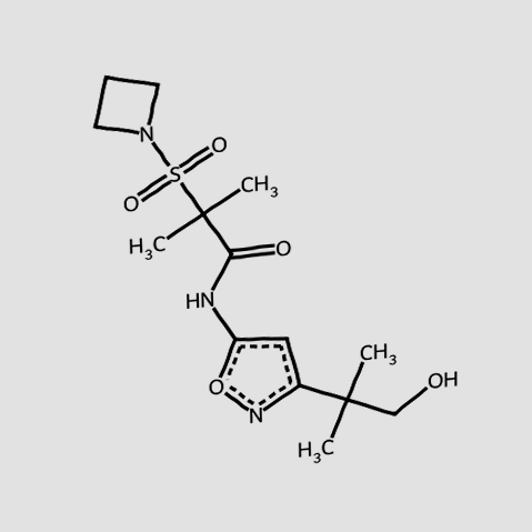 CC(C)(CO)c1cc(NC(=O)C(C)(C)S(=O)(=O)N2CCC2)on1